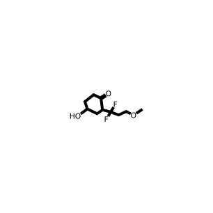 COCCC(F)(F)C1CC(O)CCC1=O